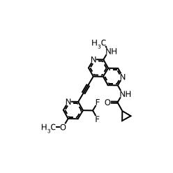 CNc1ncc(C#Cc2ncc(OC)cc2C(F)F)c2cc(NC(=O)C3CC3)ncc12